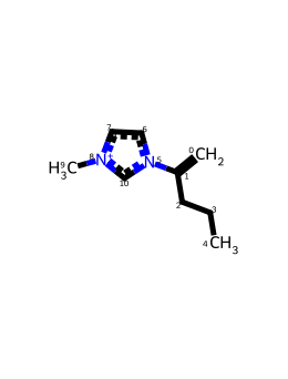 C=C(CCC)n1cc[n+](C)c1